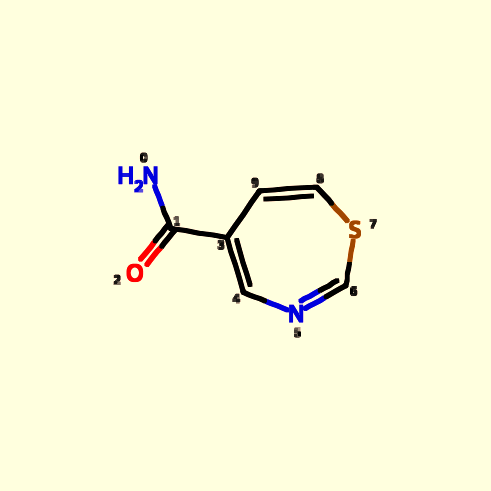 NC(=O)C1=CN=CSC=C1